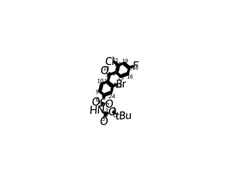 CC(C)(C)OC(=O)NS(=O)(=O)c1ccc(C(=O)c2ccc(F)cc2Cl)c(Br)c1